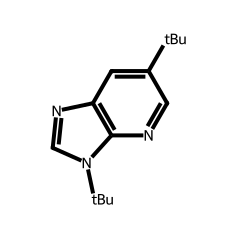 CC(C)(C)c1cnc2c(c1)ncn2C(C)(C)C